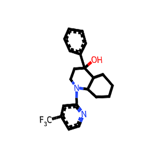 OC1(c2ccccc2)CCN(c2cc(C(F)(F)F)ccn2)C2CCCCC21